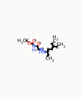 C=C/C(=C\C=C(/C=C)N/N=C/C(=O)NC(=O)OCC)CC